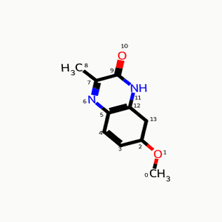 COC1C=Cc2nc(C)c(=O)[nH]c2C1